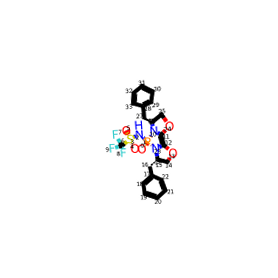 O=P1(NS(=O)(=O)C(F)(F)F)N2C(=C3OC[C@H](Cc4ccccc4)N31)OC[C@@H]2Cc1ccccc1